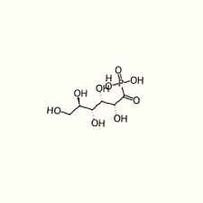 O=C([C@H](O)[C@@H](O)[C@H](O)[C@H](O)CO)P(=O)(O)O